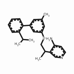 Cc1cc(OCC(C)c2cnccc2N)cc(-c2ccccc2C(C)C)c1